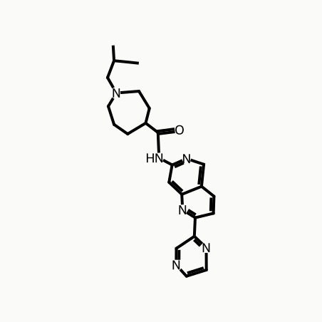 CC(C)CN1CCCC(C(=O)Nc2cc3nc(-c4cnccn4)ccc3cn2)CC1